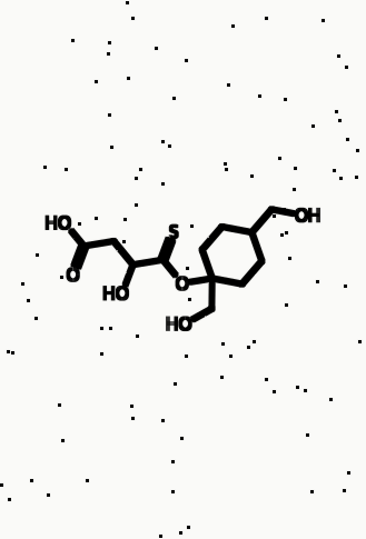 O=C(O)CC(O)C(=S)OC1(CO)CCC(CO)CC1